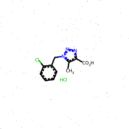 Cc1c(C(=O)O)nnn1Cc1ccccc1Cl.Cl